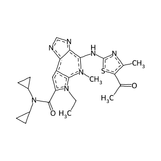 CCn1c(C(=O)N(C2CC2)C2CC2)cc2c3ncnc-3c(Nc3nc(C)c(C(C)=O)s3)n(C)c21